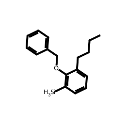 CCCCc1cccc([SiH3])c1OCc1ccccc1